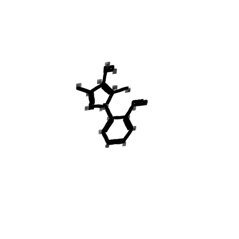 COc1ccccc1-n1nc(C)c([N+](=O)[O-])c1C